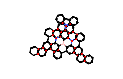 C1=CCCC(c2cccc(C3C=CC=C(c4cccc(C5=CCCC=C5)c4)C3N3c4cc(-c5ccccc5)ccc4B4c5c(-c6ccccc6)cc(-c6ccccc6)cc5N(c5c(-c6cccc(-c7ccccc7)c6)cccc5-c5cccc(-c6ccccc6)c5)c5cc(-n6c7ccccc7c7ccccc76)cc3c54)c2)=C1